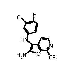 Nc1oc2c(C(F)(F)F)nccc2c1Nc1ccc(F)c(Cl)c1